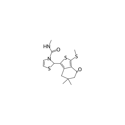 CNC(=O)N1C=CSC1c1sc(SC)c2c1CC(C)(C)CC2=O